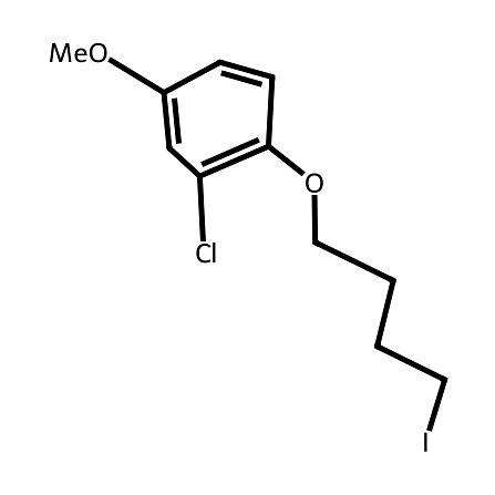 COc1ccc(OCCCCI)c(Cl)c1